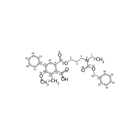 CCN(CCCOC(=O)c1cc(-c2ccccc2)c(OC)c(C)c1C(=O)O)C(=O)OCc1ccccc1